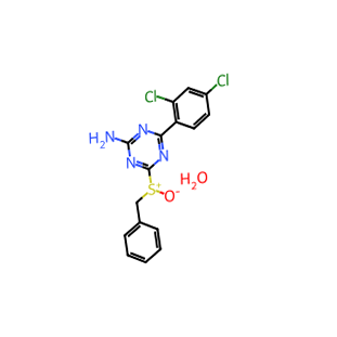 Nc1nc(-c2ccc(Cl)cc2Cl)nc([S+]([O-])Cc2ccccc2)n1.O